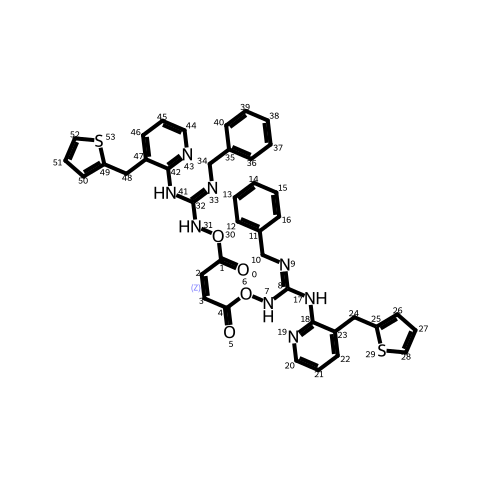 O=C(/C=C\C(=O)ONC(=NCc1ccccc1)Nc1ncccc1Cc1cccs1)ONC(=NCc1ccccc1)Nc1ncccc1Cc1cccs1